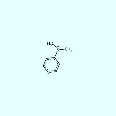 [CH2][SH](C)c1ccncc1